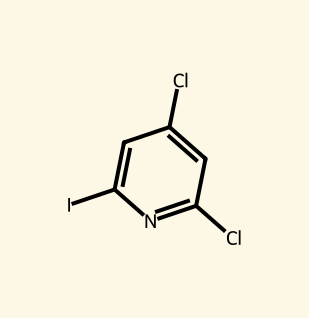 Clc1cc(Cl)nc(I)c1